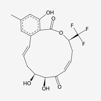 Cc1cc(O)c2c(c1)/C=C/C[C@H](O)[C@H](O)C(=O)/C=C\C[C@H](C(F)(F)F)OC2=O